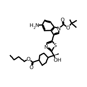 CCCCOC(=O)C1CCC([C@@](C)(O)c2ncc(-c3cn(C(=O)OC(C)(C)C)c4ccc(N)cc34)s2)CC1